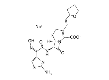 Nc1nc(/C(=N/O)C(=O)N[C@@H]2C(=O)N3C(C(=O)[O-])=C(/C=C/C4CCCO4)CS[C@@H]23)cs1.[Na+]